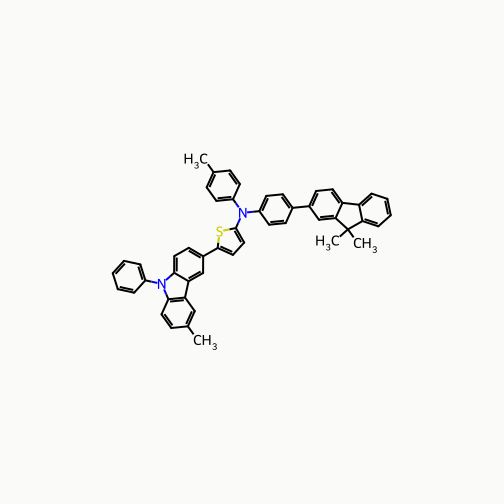 Cc1ccc(N(c2ccc(-c3ccc4c(c3)C(C)(C)c3ccccc3-4)cc2)c2ccc(-c3ccc4c(c3)c3cc(C)ccc3n4-c3ccccc3)s2)cc1